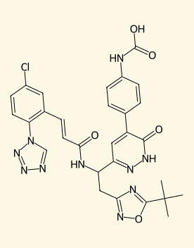 CC(C)(C)c1nc(CC(NC(=O)C=Cc2cc(Cl)ccc2-n2cnnn2)c2cc(-c3ccc(NC(=O)O)cc3)c(=O)[nH]n2)no1